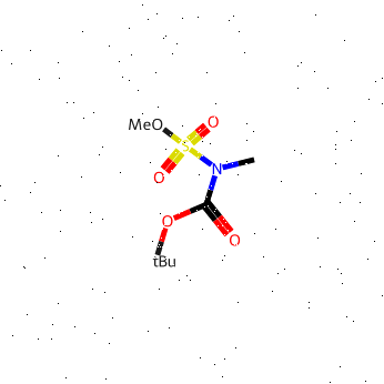 COS(=O)(=O)N(C)C(=O)OC(C)(C)C